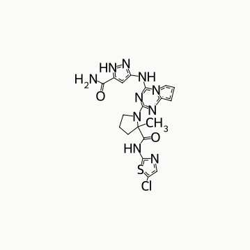 CC1(C(=O)Nc2ncc(Cl)s2)CCCN1c1nc(Nc2cc(C(N)=O)[nH]n2)n2cccc2n1